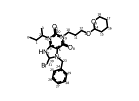 CCC(C)n1c2c(c(=O)n(CCCOC3CCCCO3)c1=O)N(Cc1ccccc1)C(Br)N2